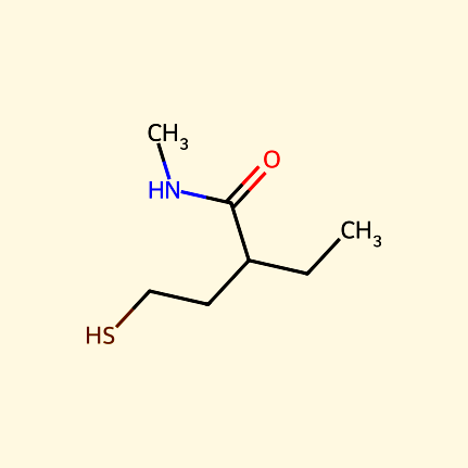 CCC(CCS)C(=O)NC